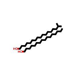 CC(C)CCCCCCCCCCCCCCCO.CCCCCCCCCCCCCCCCO